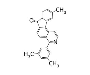 Cc1cc(C)cc(-c2nccc3c4c(ccc23)C(=O)c2ccc(C)cc2-4)c1